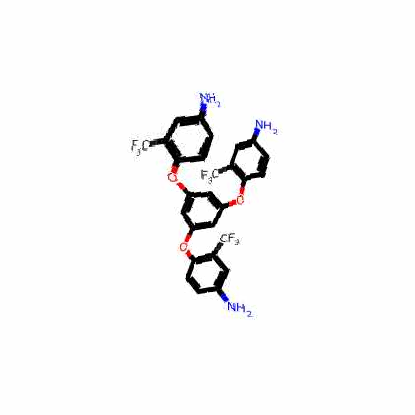 Nc1ccc(Oc2cc(Oc3ccc(N)cc3C(F)(F)F)cc(Oc3ccc(N)cc3C(F)(F)F)c2)c(C(F)(F)F)c1